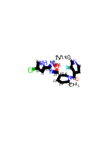 COc1nccc(C(=O)N2C[C@@H](c3nc(-c4cc(Cl)c[nH]4)no3)CC[C@H]2C)c1F